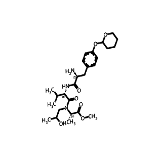 COC(=O)[C@H](C)N(CC(C)O)C(=O)[C@@H](NC(=O)[C@@H](N)Cc1ccc(OC2CCCCO2)cc1)C(C)C